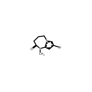 CN1C(=O)CCCn2cc(Br)cc21